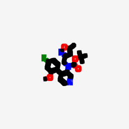 COc1cc(F)ccc1-c1ccncc1N(Cc1cc(C)on1)C(=O)OC(C)(C)C